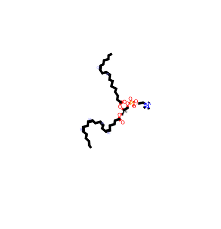 CCCCC/C=C\C/C=C\C/C=C\C/C=C\CCCC(=O)OC[C@H](COP(=O)([O-])OCC[N+](C)(C)C)OC(=O)CCCCCCC/C=C\C/C=C\CCCCC